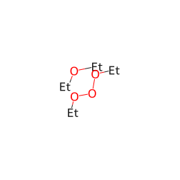 CCOCC.CCOOOCC